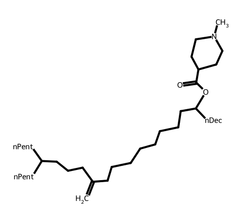 C=C(CCCCCCCCC(CCCCCCCCCC)OC(=O)C1CCN(C)CC1)CCCC(CCCCC)CCCCC